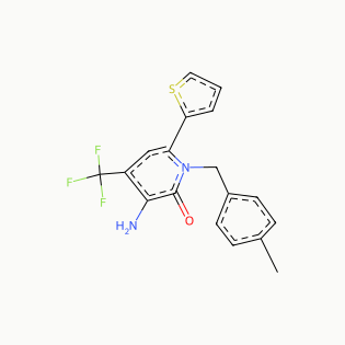 Cc1ccc(Cn2c(-c3cccs3)cc(C(F)(F)F)c(N)c2=O)cc1